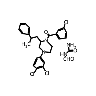 CC(CC1CN(c2ccc(Cl)c(Cl)c2)CCN1C(=O)c1cccc(Cl)c1)c1ccccc1.NC(=O)NC=O